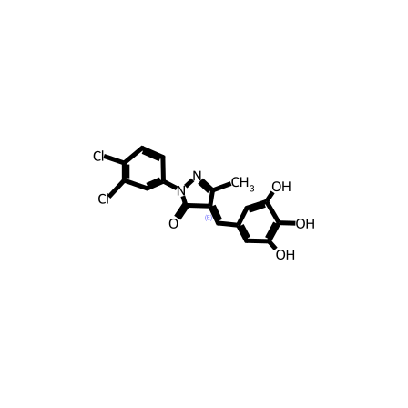 CC1=NN(c2ccc(Cl)c(Cl)c2)C(=O)/C1=C/c1cc(O)c(O)c(O)c1